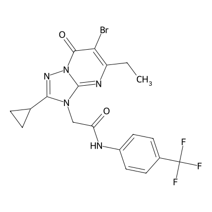 CCc1nc2n(CC(=O)Nc3ccc(C(F)(F)F)cc3)c(C3CC3)nn2c(=O)c1Br